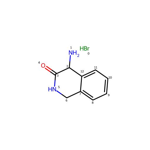 Br.NC1C(=O)NCc2ccccc21